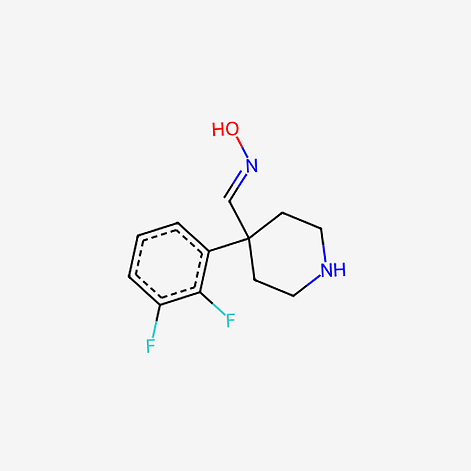 ON=CC1(c2cccc(F)c2F)CCNCC1